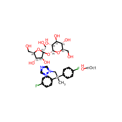 CCCCCCCCO.C[Si](Cn1cncn1)(c1ccc(F)cc1)c1ccc(F)cc1.OC[C@H]1O[C@@](CO)(O[C@H]2O[C@H](CO)[C@@H](O)[C@H](O)[C@H]2O)[C@@H](O)[C@@H]1O